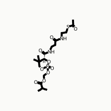 CC(=O)SCCNC(=O)CCNC(=O)[C@@H]1OP(=O)(OCOC(=O)C(C)C)OCC1(C)C